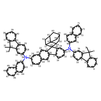 CC1(C)c2ccccc2-c2ccc(N(c3ccc4c(c3)C3(c5cc6cc(N(c7ccc8c(c7)C(C)(C)c7ccccc7-8)c7ccc8ccccc8c7)ccc6cc5-4)C4CC5CC(C4)CC3C5)c3ccc4ccccc4c3)cc21